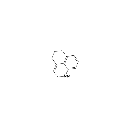 C1=C2CCCc3cccc(c32)NC1